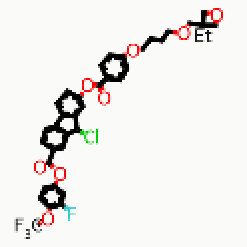 CCC1(COCCCCOc2ccc(C(=O)Oc3ccc4c(c3)C(Cl)c3cc(C(=O)Oc5ccc(OC(F)(F)F)c(F)c5)ccc3-4)cc2)COC1